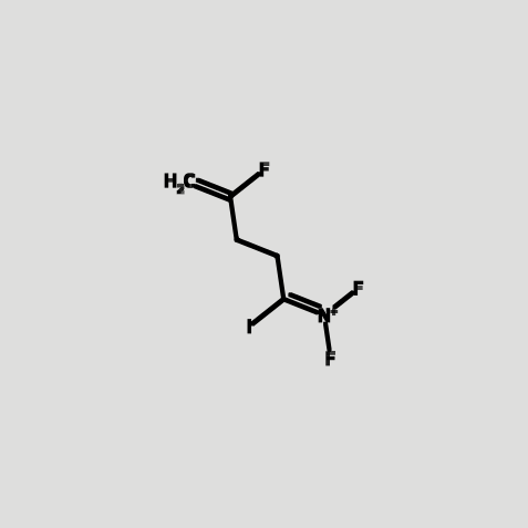 C=C(F)CCC(I)=[N+](F)F